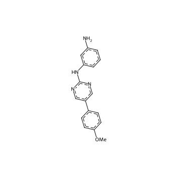 COc1ccc(-c2cnc(Nc3cccc(N)c3)nc2)cc1